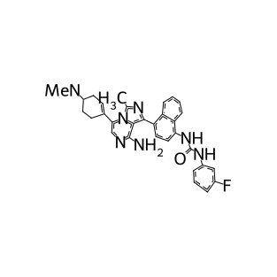 CNC1CC=C(c2cnc(N)c3c(-c4ccc(NC(=O)Nc5cccc(F)c5)c5ccccc45)nc(C)n23)CC1